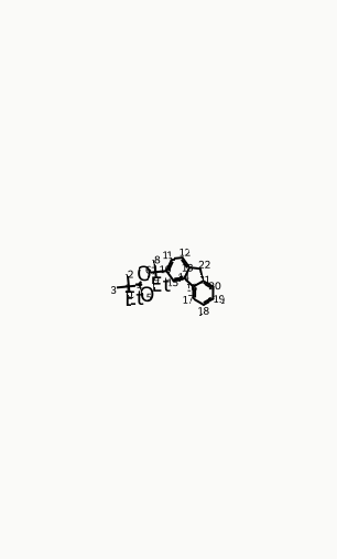 CCC(C)(C)C(=O)OC(C)(CC)c1ccc2c(c1)-c1ccccc1C2